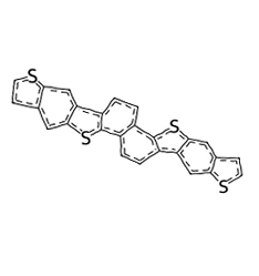 c1cc2cc3sc4c(ccc5c4ccc4c6cc7sccc7cc6sc45)c3cc2s1